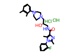 Cc1cccc(N2CCN(C[C@@H](O)CNC(=O)c3nc(C)n(-c4ccccc4F)c3C)CC2)c1C.Cl.Cl